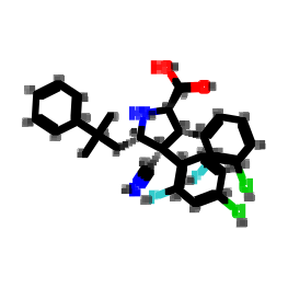 CC(C)(C[C@@H]1N[C@@H](C(=O)O)[C@H](c2cccc(Cl)c2F)[C@@]1(C#N)c1ccc(Cl)cc1F)c1ccccc1